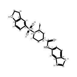 C[C@H]1C[C@H](C(=O)Nc2ccc3scnc3c2)CCN1S(=O)(=O)c1ccc2c(c1)CCO2